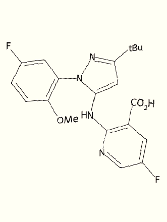 COc1ccc(F)cc1-n1nc(C(C)(C)C)cc1Nc1ncc(F)cc1C(=O)O